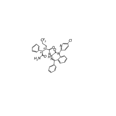 NC(=O)[C@@H](c1ccccc1)[C@@H](CCC(F)(F)F)C(=O)N[C@H]1N=C(c2ccccc2)c2ccccc2N(c2ccc(Cl)cn2)C1=O